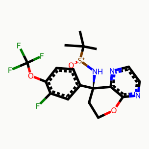 CC(C)(C)[S@@+]([O-])N[C@]1(c2ccc(OC(F)(F)F)c(F)c2)CCOc2nccnc21